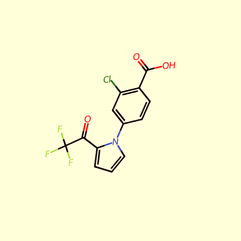 O=C(O)c1ccc(-n2cccc2C(=O)C(F)(F)F)cc1Cl